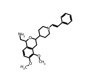 COc1ccc2c(c1OC)CC(C1CCN(C=Cc3ccccc3)CC1)OC2CN